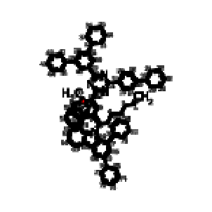 C=CCCCC/C(=C(\C=C(/C=C)c1nc(-c2ccc(-c3ccccc3)cc2)nc(-c2cc(-c3ccccc3)cc(-c3ccccc3)c2)n1)c1ccccc1)n1c2c(-c3ccccc3)cccc2c2cc(-c3ccccc3)cc(-c3ccccc3)c21